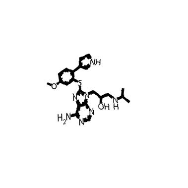 COc1ccc(-c2cc[nH]c2)c(Sc2nc3c(N)ncnc3n2CC(O)CNC(C)C)c1